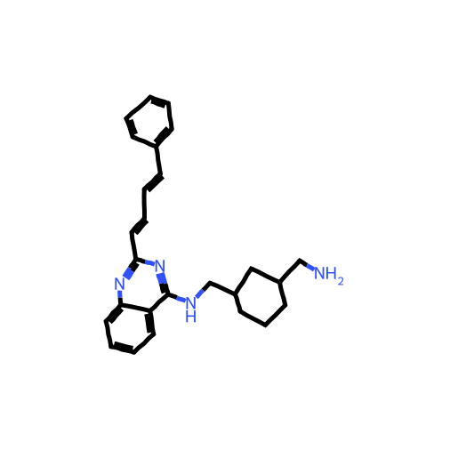 NCC1CCCC(CNc2nc(/C=C/C=C/c3ccccc3)nc3ccccc23)C1